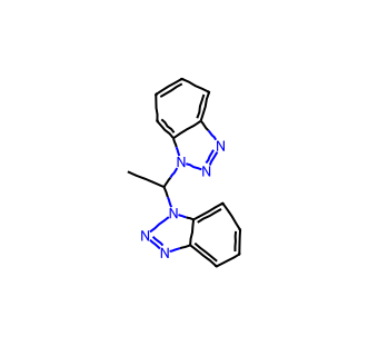 CC(n1nnc2ccccc21)n1nnc2ccccc21